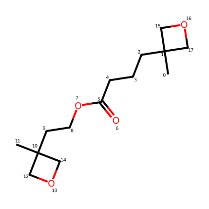 CC1(CCCC(=O)OCCC2(C)COC2)COC1